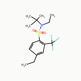 CCc1ccc(S(=O)(=O)N(CC)C(C)(C)C)c(C(F)(F)F)c1